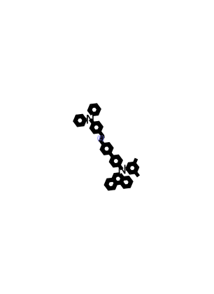 Cc1cc(C)cc(N(c2ccc(-c3ccc(/C=C/c4ccc(N(c5ccccc5)c5ccccc5)cc4)cc3)cc2)c2cc3ccccc3c3ccccc23)c1